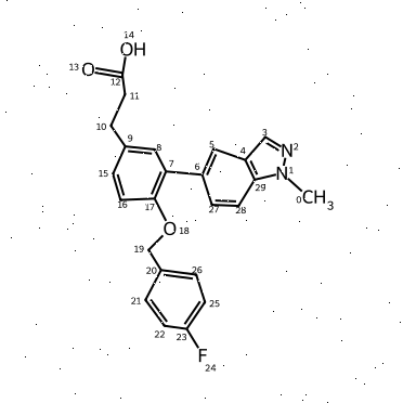 Cn1ncc2cc(-c3cc(CCC(=O)O)ccc3OCc3ccc(F)cc3)ccc21